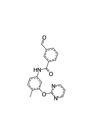 Cc1ccc(NC(=O)c2cccc(C=O)c2)cc1Oc1ncccn1